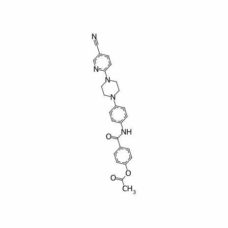 CC(=O)Oc1ccc(C(=O)Nc2ccc(N3CCN(c4ccc(C#N)cn4)CC3)cc2)cc1